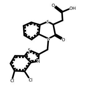 O=C(O)CC1Sc2ccccc2N(Cc2nc3c(Cl)c(Cl)ccc3s2)C1=O